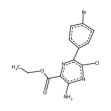 CCOC(=O)c1nc(-c2ccc(Br)cc2)c(Cl)nc1N